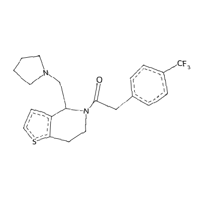 O=C(Cc1ccc(C(F)(F)F)cc1)N1CCc2sccc2C1CN1CCCC1